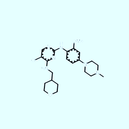 COc1cc(N2CCN(C)CC2)ccc1Nc1ncc(Cl)c(NCC2CCOCC2)n1